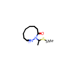 CSSC(C)N1/N=C\CCCCCCC1=O